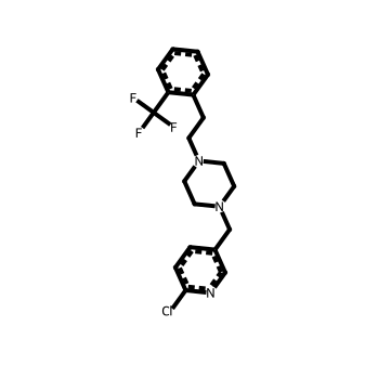 FC(F)(F)c1ccccc1CCN1CCN(Cc2ccc(Cl)nc2)CC1